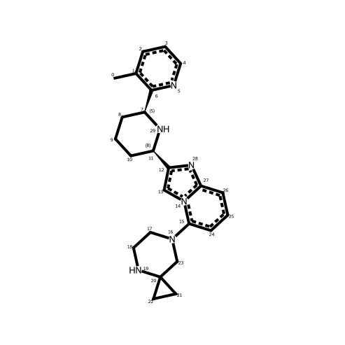 Cc1cccnc1[C@@H]1CCC[C@H](c2cn3c(N4CCNC5(CC5)C4)cccc3n2)N1